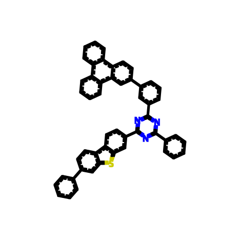 c1ccc(-c2ccc3c(c2)sc2cc(-c4nc(-c5ccccc5)nc(-c5cccc(-c6ccc7c8ccccc8c8ccccc8c7c6)c5)n4)ccc23)cc1